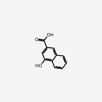 O=C(O)c1[c]c(O)c2ccccc2c1